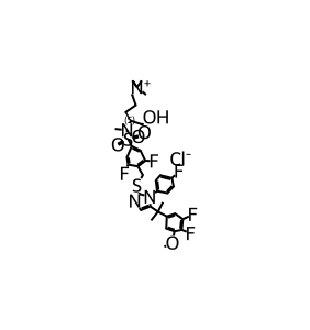 COc1cc(C(C)(C)c2cnc(SCc3c(F)cc(S(=O)(=O)N(C)[C@@H](CCC[N+](C)(C)C)C(=O)O)cc3F)n2-c2ccc(F)cc2)cc(F)c1F.[Cl-]